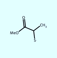 COC(=O)C(C)[S]